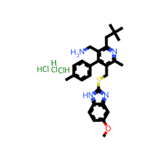 COc1ccc2[nH]c(SCc3c(C)nc(CC(C)(C)C)c(CN)c3-c3ccc(C)cc3)nc2c1.Cl.Cl.Cl